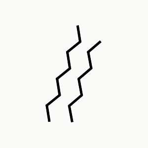 CCCCCCC.CCCCCCCC